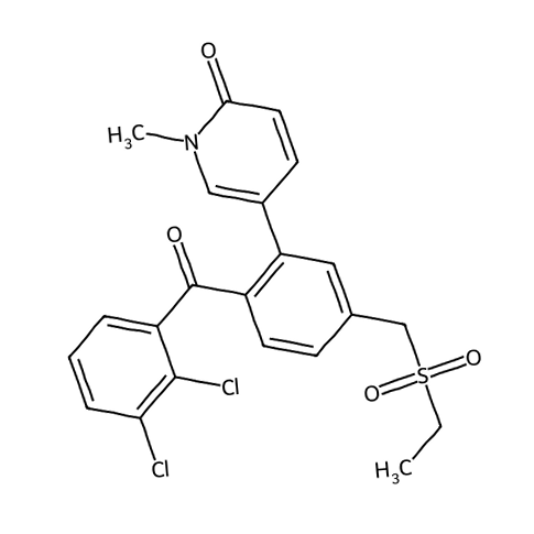 CCS(=O)(=O)Cc1ccc(C(=O)c2cccc(Cl)c2Cl)c(-c2ccc(=O)n(C)c2)c1